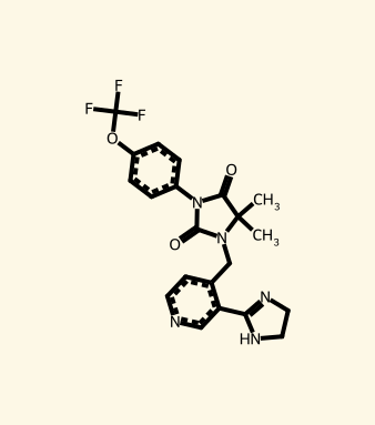 CC1(C)C(=O)N(c2ccc(OC(F)(F)F)cc2)C(=O)N1Cc1ccncc1C1=NCCN1